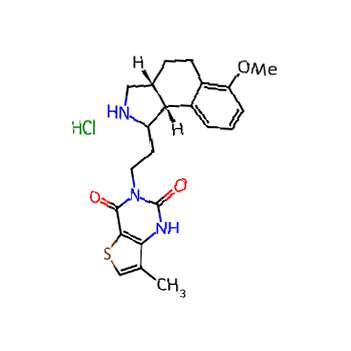 COc1cccc2c1CC[C@H]1CNC(CCn3c(=O)[nH]c4c(C)csc4c3=O)[C@@H]21.Cl